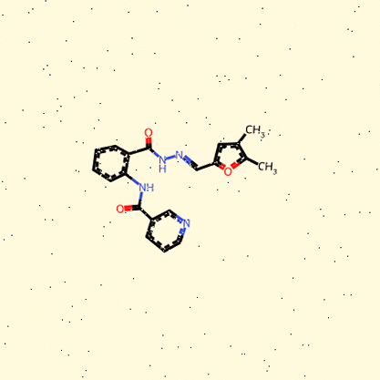 Cc1cc(/C=N/NC(=O)c2ccccc2NC(=O)c2cccnc2)oc1C